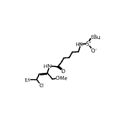 CCC(Cl)/C=C(\COC)NC(=O)CCCCN[S+]([O-])C(C)(C)C